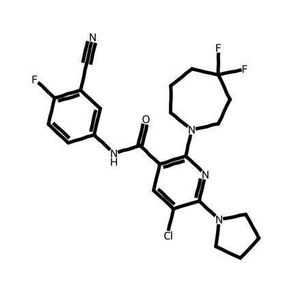 N#Cc1cc(NC(=O)c2cc(Cl)c(N3CCCC3)nc2N2CCCC(F)(F)CC2)ccc1F